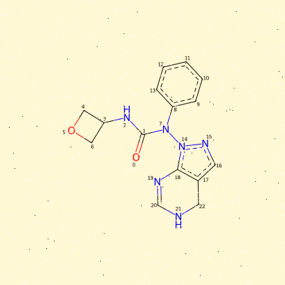 O=C(NC1COC1)N(c1ccccc1)n1ncc2c1N=CNC2